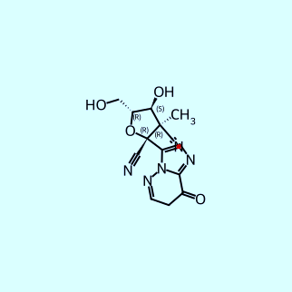 C[C@@]1(C#N)[C@H](O)[C@@H](CO)O[C@@]1(C#N)c1cnc2n1N=CCC2=O